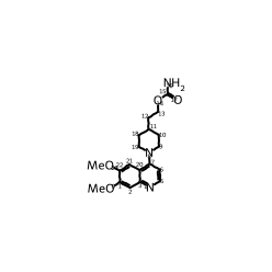 COc1cc2nccc(N3CCC(CCOC(N)=O)CC3)c2cc1OC